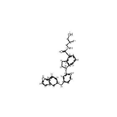 O=C(NCC(F)CO)c1cccc2c1CCN2c1cc(Cc2ccc3occc3c2)ccn1